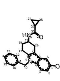 COc1ccc2c(c1)c1c(n2Cc2ccccc2)CCC(NC(=O)C2CC2)C1